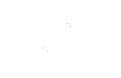 O=c1oc(-c2ccc3ccccc3n2)cn1-c1ccccc1